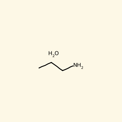 CCCN.O